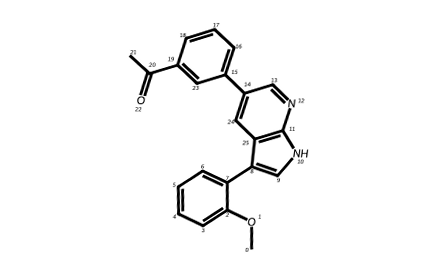 COc1ccccc1-c1c[nH]c2ncc(-c3cccc(C(C)=O)c3)cc12